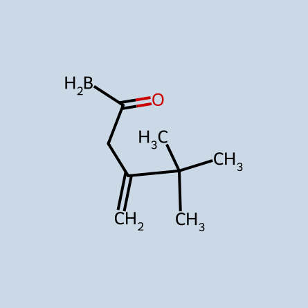 BC(=O)CC(=C)C(C)(C)C